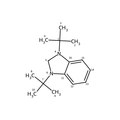 CC(C)(C)N1[CH]N(C(C)(C)C)c2ccccc21